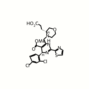 COC(=O)C1=C(CN2CCOC[C@H]2CCC(=O)O)NC(c2nccs2)=N[C@H]1c1ccc(Cl)cc1Cl